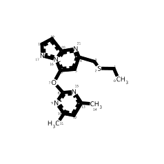 CCSCc1cc(Oc2nc(C)cc(C)n2)n2nccc2n1